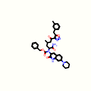 Cc1cccc(Cc2onnc2C(=O)CC(C)CC(C(N)=O)N(C(=O)OCc2ccccc2)c2cc3ccc(N4CCCCC4)cc3[nH]c2=O)c1